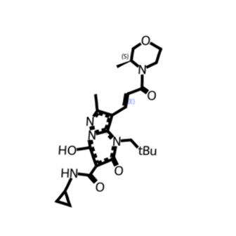 Cc1nn2c(O)c(C(=O)NC3CC3)c(=O)n(CC(C)(C)C)c2c1/C=C/C(=O)N1CCOC[C@@H]1C